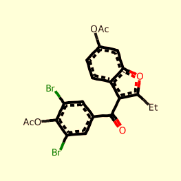 CCc1oc2cc(OC(C)=O)ccc2c1C(=O)c1cc(Br)c(OC(C)=O)c(Br)c1